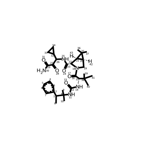 CC(c1ccccc1)C(C)(C)NC(=O)N[C@H](C(=O)N1C[C@H]2[C@@H]([C@H]1C(=O)NC(C(=O)C(N)=O)C1CC1)C2(C)C)C(C)(C)C